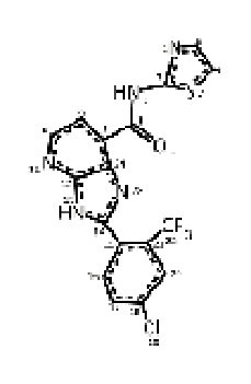 O=C(Nc1nccs1)c1ccnc2[nH]c(-c3ccc(Cl)cc3C(F)(F)F)nc12